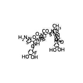 CC1=NC2=CN(CS(=O)(=O)c3ccc(O)c(O)c3)NN2C(SCC2=C(C(=O)O)N3C(=O)[C@@H](NC(=O)C(=NOCc4ccc(O)c(O)c4F)c4csc(N)n4)[C@H]3SC2)=C1